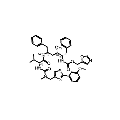 COc1cccc(-c2nc(CN(C)C(=O)N[C@H](C(=O)N[C@@H](Cc3ccccc3)C[C@H](O)[C@H](Cc3ccccc3)NC(=O)OCc3cnco3)C(C)C)cs2)c1